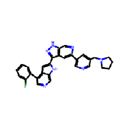 Fc1ccccc1-c1cncc2[nH]c(-c3n[nH]c4cnc(-c5cncc(CN6CCCC6)c5)cc34)cc12